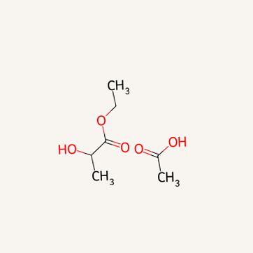 CC(=O)O.CCOC(=O)C(C)O